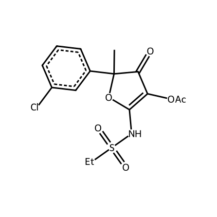 CCS(=O)(=O)NC1=C(OC(C)=O)C(=O)C(C)(c2cccc(Cl)c2)O1